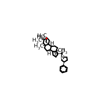 CCC[C@]12CC[C@@](C)(O)C[C@@]1(C)CC[C@H]1[C@@H]3CC[C@H](C(=O)N4CC[C@@H](c5ccccc5)C4)[C@@]3(C)CC[C@@H]12